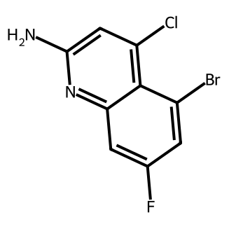 Nc1cc(Cl)c2c(Br)cc(F)cc2n1